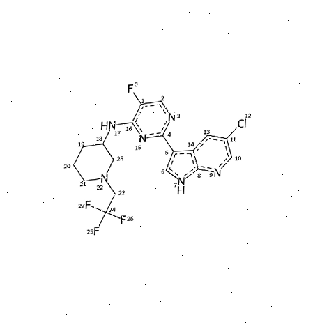 Fc1cnc(-c2c[nH]c3ncc(Cl)cc23)nc1NC1CCCN(CC(F)(F)F)C1